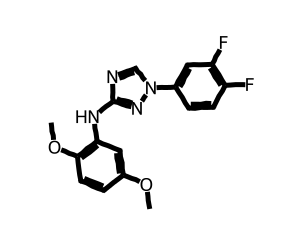 COc1ccc(OC)c(Nc2ncn(-c3ccc(F)c(F)c3)n2)c1